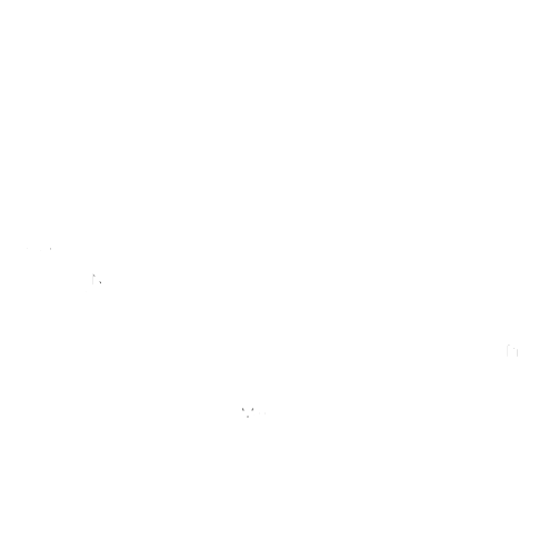 COc1cc(CC[C@@](N)(CO)CC2CCC2)ccc1OCCCCCC(C)C